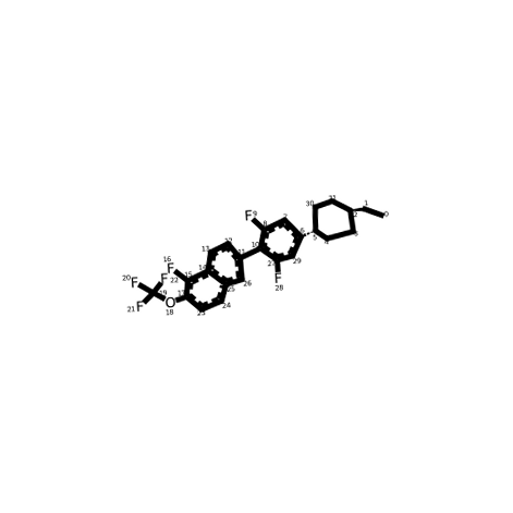 CC[C@H]1CC[C@H](c2cc(F)c(-c3ccc4c(F)c(OC(F)(F)F)ccc4c3)c(F)c2)CC1